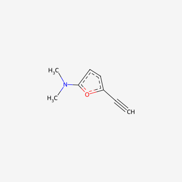 C#Cc1ccc(N(C)C)o1